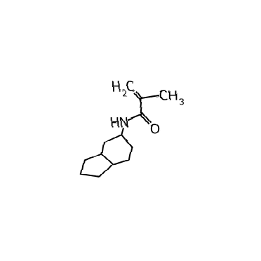 C=C(C)C(=O)NC1CCC2CCCC2C1